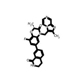 Cc1nc2cnccn2c1CN1C(=O)[C@@H](C)Oc2c(F)cc(-c3ccc4c(c3)C(=O)NCC4)cc21